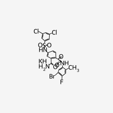 Cc1cc(F)c(Br)cc1NS(=O)(=O)c1ccc(NS(=O)(=O)c2cc(Cl)cc(Cl)c2)cc1C(N)=O.[KH]